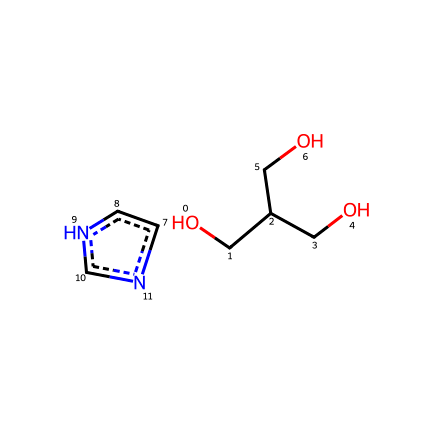 OCC(CO)CO.c1c[nH]cn1